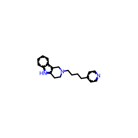 c1ccc2c3c([nH]c2c1)CCN(CCCCc1ccncc1)C3